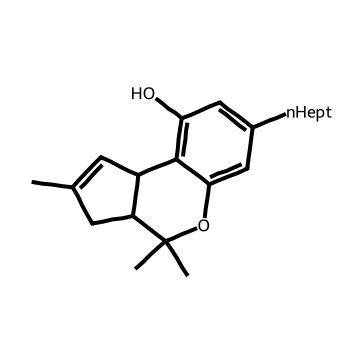 CCCCCCCc1cc(O)c2c(c1)OC(C)(C)C1CC(C)=CC21